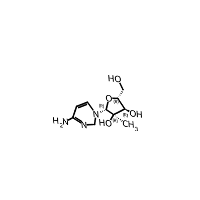 C[C@@]1(O)[C@H](O)[C@@H](CO)O[C@H]1N1C=CC(N)=NC1